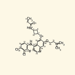 C=CC(=O)NC1CC(Oc2cc3c(Nc4ccc(Cl)c(Cl)c4F)ncnc3cc2OCCN(C)C)C1